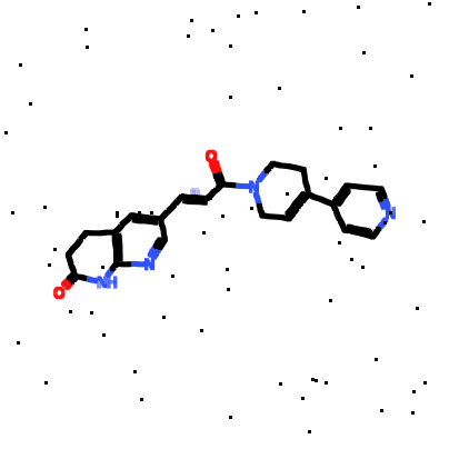 O=C1CCc2cc(/C=C/C(=O)N3CC=C(c4ccncc4)CC3)cnc2N1